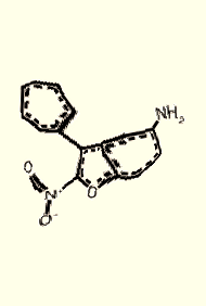 Nc1ccc2oc([N+](=O)[O-])c(-c3ccccc3)c2c1